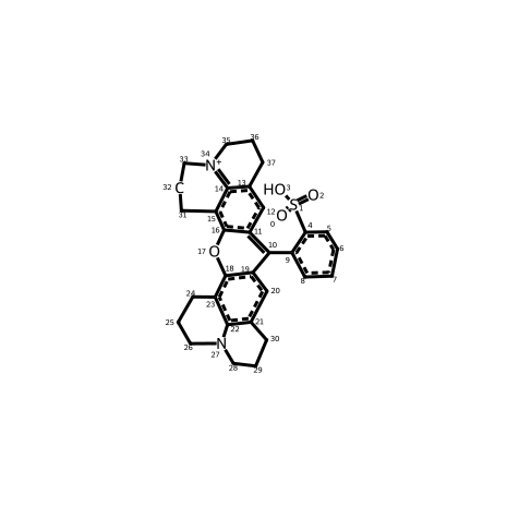 O=S(=O)(O)c1ccccc1C1=c2cc3c4c(c2Oc2c1cc1c5c2CCCN5CCC1)CCC[N+]=4CCC3